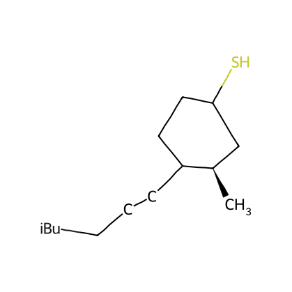 CCC(C)CCCC1CCC(S)C[C@H]1C